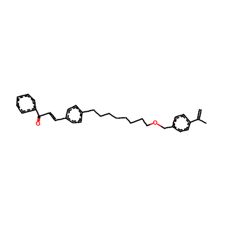 C=C(C)c1ccc(COCCCCCCCCc2ccc(C=CC(=O)c3ccccc3)cc2)cc1